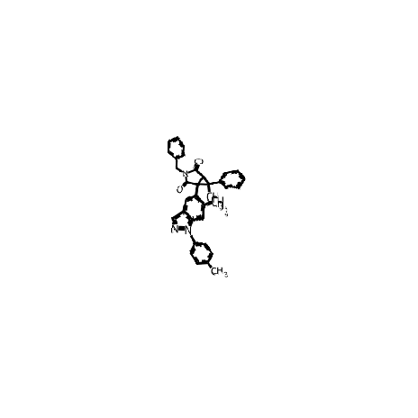 Cc1ccc(-n2ncc3cc(C45C(=O)N(Cc6ccccc6)C(=O)C4C5(C)c4ccccc4)c(C)cc32)cc1